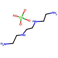 NCCNCCNCCN.[O-][Cl+3]([O-])([O-])O